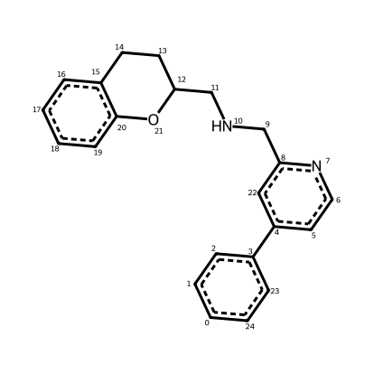 c1ccc(-c2ccnc(CNCC3CCc4ccccc4O3)c2)cc1